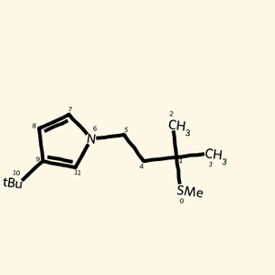 CSC(C)(C)CCn1ccc(C(C)(C)C)c1